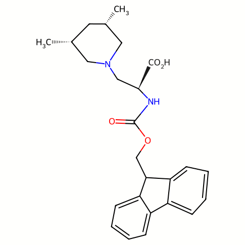 C[C@@H]1C[C@H](C)CN(C[C@H](NC(=O)OCC2c3ccccc3-c3ccccc32)C(=O)O)C1